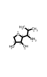 CC(C)C(N)C1OCC(O)C1O